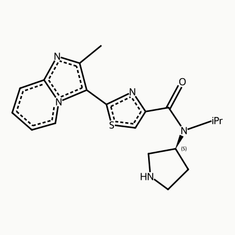 Cc1nc2ccccn2c1-c1nc(C(=O)N(C(C)C)[C@H]2CCNC2)cs1